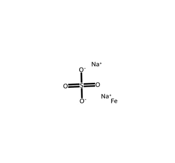 O=S(=O)([O-])[O-].[Fe].[Na+].[Na+]